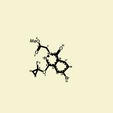 COC(=O)Cn1nc(OC2(F)CC2)c2cc(Br)ccc2c1=O